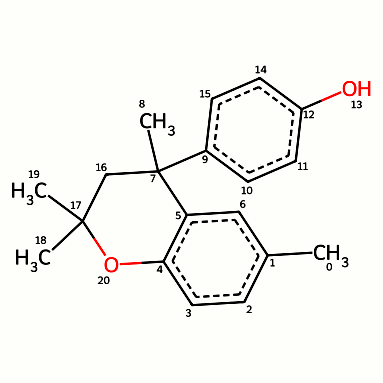 Cc1ccc2c(c1)C(C)(c1ccc(O)cc1)CC(C)(C)O2